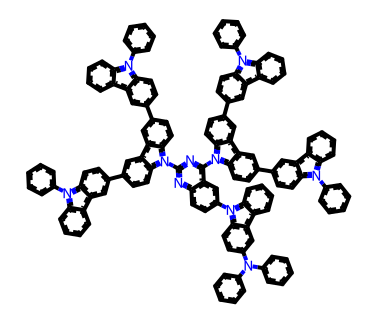 c1ccc(N(c2ccccc2)c2ccc3c(c2)c2ccccc2n3-c2ccc3nc(-n4c5ccc(-c6ccc7c(c6)c6ccccc6n7-c6ccccc6)cc5c5cc(-c6ccc7c(c6)c6ccccc6n7-c6ccccc6)ccc54)nc(-n4c5ccc(-c6ccc7c(c6)c6ccccc6n7-c6ccccc6)cc5c5cc(-c6ccc7c(c6)c6ccccc6n7-c6ccccc6)ccc54)c3c2)cc1